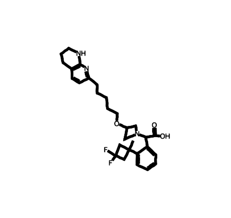 CC1(c2ccccc2C(C(=O)O)N2CC(OCCCCCc3ccc4c(n3)NCCC4)C2)CC(F)(F)C1